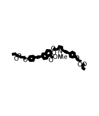 C=CC(=O)OCCOc1ccc(C#Cc2ccc3c(C(=O)OC)c(OC(=O)c4ccc(C#Cc5ccc(OCCOC(=O)C=C)cc5)[nH]4)ccc3c2)cc1